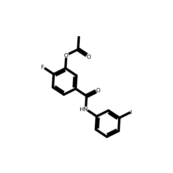 CC(=O)Oc1cc(C(=O)Nc2cccc(I)c2)ccc1F